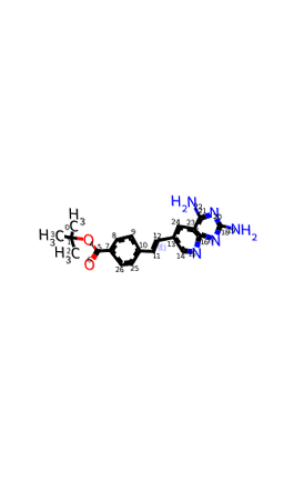 CC(C)(C)OC(=O)c1ccc(/C=C/c2cnc3nc(N)nc(N)c3c2)cc1